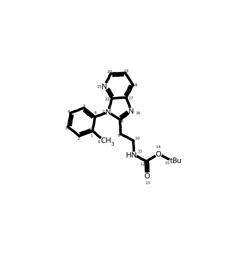 Cc1ccccc1-n1c(CCNC(=O)OC(C)(C)C)nc2cccnc21